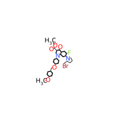 CCOC(=O)c1cn(-c2ccc(OCc3ccc(OC)cc3)cc2)c2cc(N3CCCC3CBr)c(F)cc2c1=O